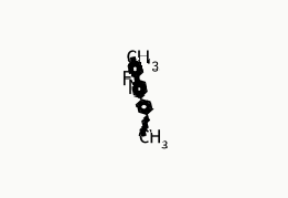 CCCCC[C@H]1CC[C@H](c2ccc(-c3ccc(C)cc3F)nc2)CC1